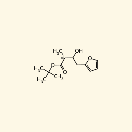 C[C@@H](C(=O)OC(C)(C)C)C(O)Cc1ccco1